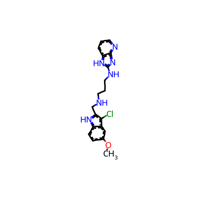 COc1ccc2[nH]c(CNCCCNc3nc4ncccc4[nH]3)c(Cl)c2c1